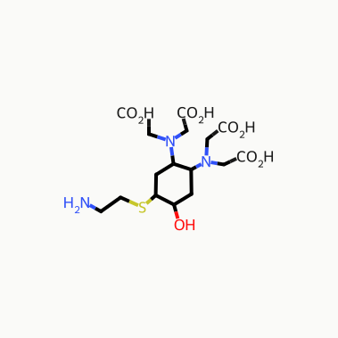 NCCSC1CC(N(CC(=O)O)CC(=O)O)C(N(CC(=O)O)CC(=O)O)CC1O